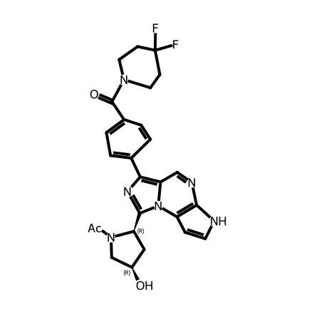 CC(=O)N1C[C@H](O)C[C@@H]1c1nc(-c2ccc(C(=O)N3CCC(F)(F)CC3)cc2)c2cnc3[nH]ccc3n12